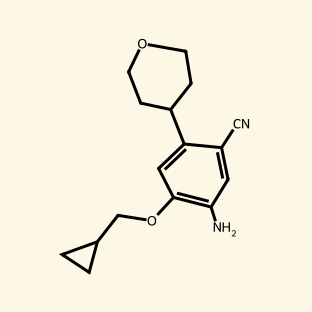 N#Cc1cc(N)c(OCC2CC2)cc1C1CCOCC1